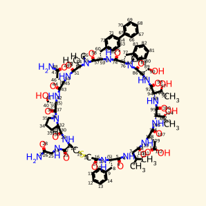 CC(C)C1NC(=O)[C@H](Cc2ccccc2)NC(=O)CSC[C@@H](C(=O)NCC(N)=O)NC(=O)[C@@H]2CCCN2C(=O)[C@H](CO)NC(=O)[C@H](CC(N)=O)NC(=O)[C@H](C)N(C)C(=O)[C@H](Cc2ccc(-c3ccccc3)cc2)NC(=O)[C@H](Cc2ccccc2)N(C)C(=O)[C@H](CO)NC(=O)[C@H]([C@@H](C)O)NC(=O)[C@H]([C@@H](C)O)NC(=O)[C@H](CC(=O)O)NC1=O